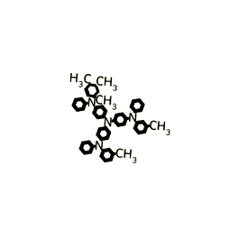 Cc1cccc(N(c2ccccc2)c2ccc(N(c3ccc(N(c4ccccc4)c4cccc(C)c4)cc3)c3ccc(N(c4ccccc4)C4(C)C=CC(C)C(C)C4)cc3)cc2)c1